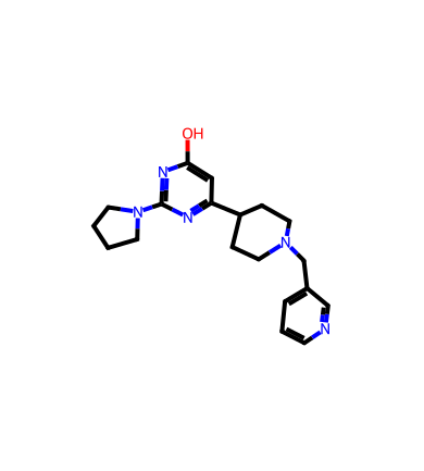 Oc1cc(C2CCN(Cc3cccnc3)CC2)nc(N2CCCC2)n1